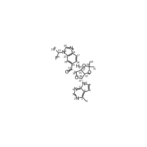 Cc1ncnc2c1ccn2[C@@H]1O[C@H](C(=O)c2ccc3ncn(C(F)F)c3c2)[C@H]2OC(C)(C)OC12